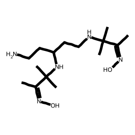 C/C(=N/O)C(C)(C)NCCC(CCN)NC(C)(C)/C(C)=N\O